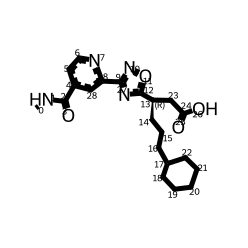 CNC(=O)c1ccnc(-c2noc([C@H](CCCC3CCCCC3)CC(=O)O)n2)c1